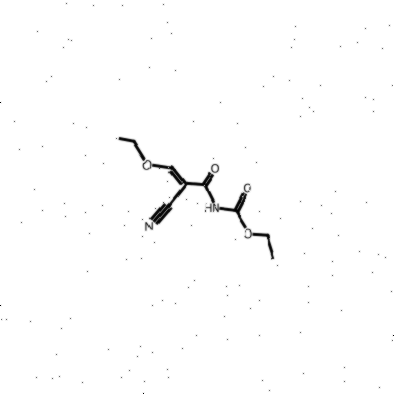 CCO/C=C(\C#N)C(=O)NC(=O)OCC